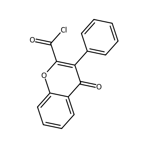 O=C(Cl)c1oc2ccccc2c(=O)c1-c1ccccc1